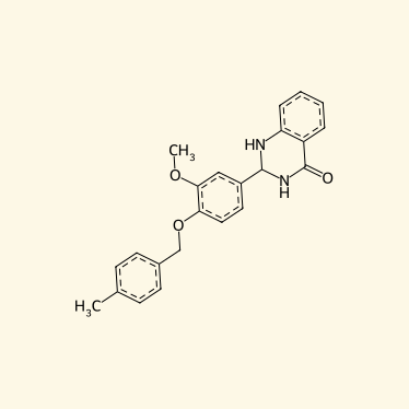 COc1cc(C2NC(=O)c3ccccc3N2)ccc1OCc1ccc(C)cc1